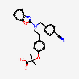 CC(C)(Oc1ccc(CCN(Cc2ccc(C#N)cc2)c2nc3ccccc3o2)cc1)C(=O)O